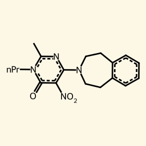 CCCn1c(C)nc(N2CCc3ccccc3CC2)c([N+](=O)[O-])c1=O